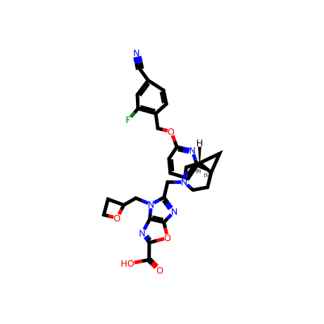 N#Cc1ccc(COc2cccc([C@@]34CCN(Cc5nc6oc(C(=O)O)nc6n5CC5CCO5)C[C@@H]3C4)n2)c(F)c1